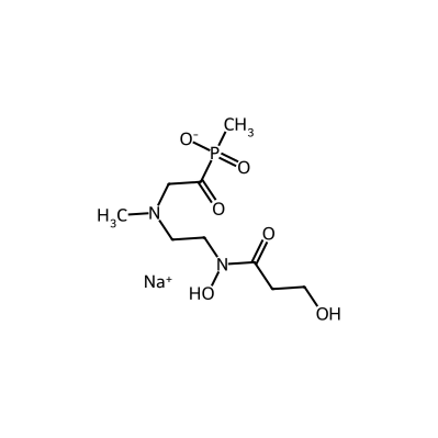 CN(CCN(O)C(=O)CCO)CC(=O)P(C)(=O)[O-].[Na+]